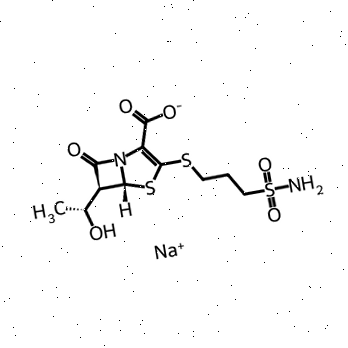 C[C@@H](O)[C@H]1C(=O)N2C(C(=O)[O-])=C(SCCCS(N)(=O)=O)S[C@H]12.[Na+]